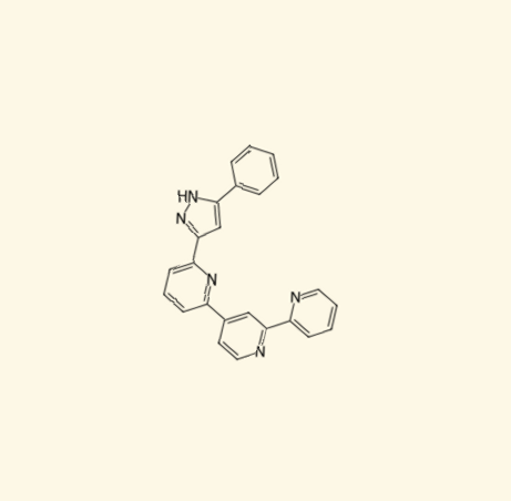 c1ccc(-c2cc(-c3cccc(-c4ccnc(-c5ccccn5)c4)n3)n[nH]2)cc1